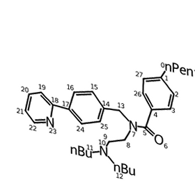 CCCCCc1ccc(C(=O)N(CCN(CCCC)CCCC)Cc2ccc(-c3ccccn3)cc2)cc1